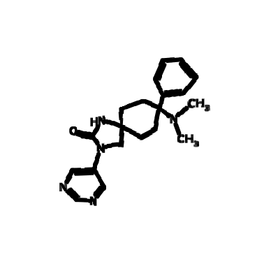 CN(C)[C@]1(c2ccccc2)CC[C@@]2(CC1)CN(c1cncnc1)C(=O)N2